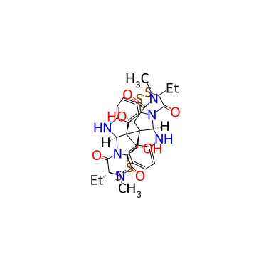 CCC12SS[C@]3(C(=O)N1C)[C@@H](O)[C@]1([C@@]45c6ccccc6N[C@@H]4N4C(=O)[C@@]6(CC)SS[C@@]4(C(=O)N6C)[C@H]5O)c4ccccc4N[C@@H]1N3C2=O